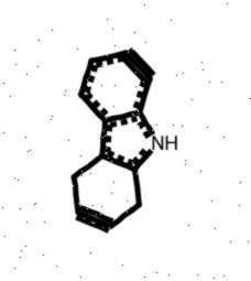 C1#CCc2c([nH]c3c#cccc23)C1